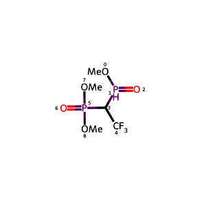 CO[PH](=O)C(C(F)(F)F)P(=O)(OC)OC